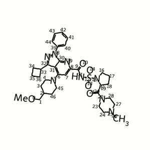 COCC1CCN(c2cc(C(=O)NS(=O)(=O)N3CCC[C@H]3C(=O)N3CCN(C)CC3)nc3c2c(C2CCC2)nn3-c2ccccc2)CC1